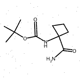 CC(C)(C)OC(=O)NC1(C(N)=O)CCC1